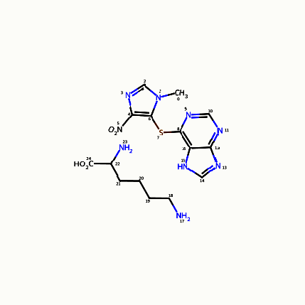 Cn1cnc([N+](=O)[O-])c1Sc1ncnc2nc[nH]c12.NCCCCC(N)C(=O)O